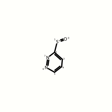 O=[S+]c1cccnn1